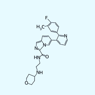 Cc1cc(-c2ncccc2-c2ccc3cnc(C(=O)NCCNC4CCOCC4)n3c2)ccc1F